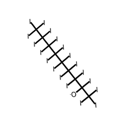 [O]C(I)(C(I)(I)I)C(I)(I)C(I)(I)C(I)(I)C(I)(I)C(I)(I)C(I)(I)C(I)(I)I